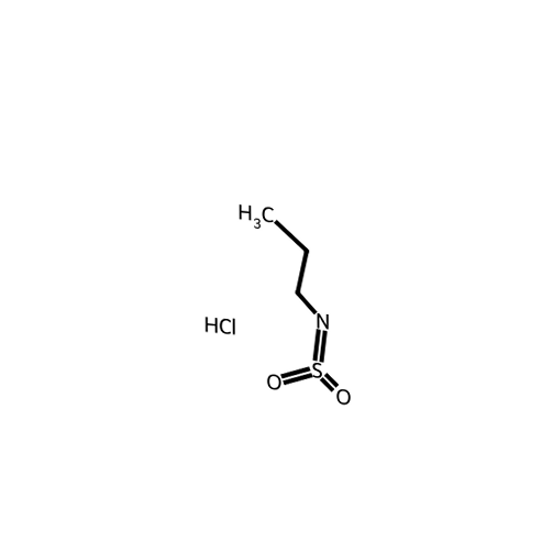 CCCN=S(=O)=O.Cl